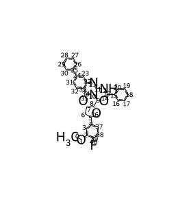 COc1cc(C2CCC(Cn3c(NC(=O)c4ccccc4)nc4cc(-c5ccccc5)ccc4c3=O)O2)ccc1F